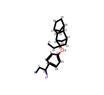 CCC(I)c1ccc(OC2(CC)CC3CC2C2C4CCC(C4)C32)cc1